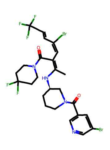 C\C(N[C@@H]1CCCN(C(=O)c2cncc(Br)c2)C1)=C(/C=C(Br)\C=C\C(F)(F)F)C(=O)N1CCC(F)(F)CC1